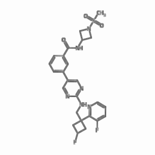 CS(=O)(=O)N1CC(NC(=O)c2cccc(-c3cnc(NCC4(c5ncccc5F)CC(F)C4)nc3)c2)C1